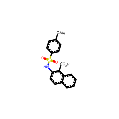 COc1ccc(S(=O)(=O)Nc2ccc3ccccc3c2C(=O)O)cc1